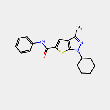 Cc1nn(C2CCCCC2)c2sc(C(=O)Nc3ccccc3)cc12